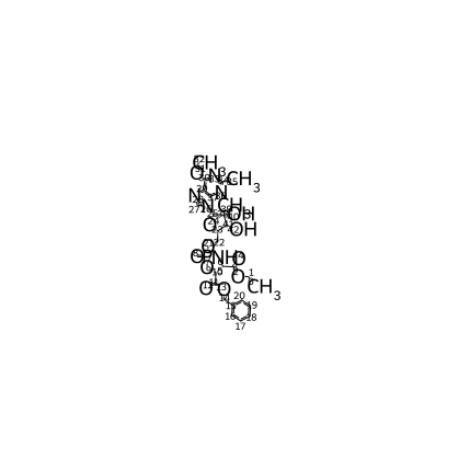 CCOC(=O)CNP(=O)(OCC(=O)OCc1ccccc1)OC[C@H]1O[C@@H](n2cnc3c(OC)nc(C)nc32)[C@@](C)(O)C1O